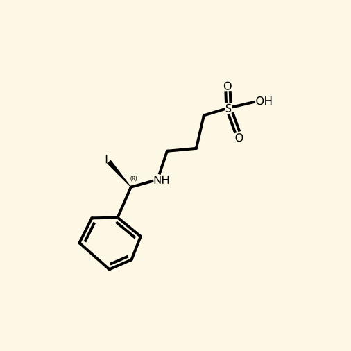 O=S(=O)(O)CCCN[C@H](I)c1ccccc1